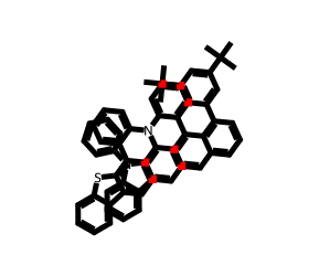 CC(C)(C)c1cc(-c2cccc3cccc(-c4ccccc4N(c4ccccc4-c4cccc5c4sc4ccccc45)c4cccc5c6ccccc6n(-c6ccccc6)c45)c23)cc(C(C)(C)C)c1